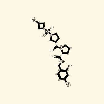 N#CC1CN(S(=O)(=O)N2CC[C@H](C(=O)N3CCC[C@@H]3C(=O)NCc3ccc(C(F)(F)F)cc3F)C2)C1